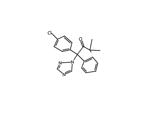 CC(C)(C)C(=O)C(c1ccccc1)(c1ccc(Cl)cc1)n1cncn1